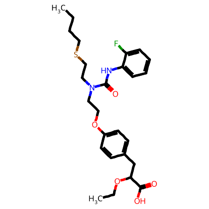 CCCCSCCN(CCOc1ccc(CC(OCC)C(=O)O)cc1)C(=O)Nc1ccccc1F